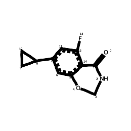 O=C1NCOc2cc(C3CC3)cc(F)c21